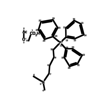 CC(=O)O.CC(=O)[O-].CN(C)CCCC[P+](c1ccccc1)(c1ccccc1)c1ccccc1